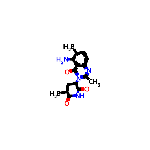 Bc1ccc2nc(C)n(C3CC(B)C(=O)NC3=O)c(=O)c2c1N